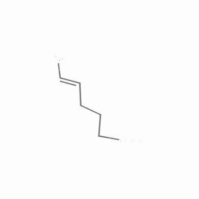 CCCCCCCCC=C[N+](=O)[O-]